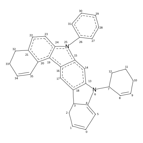 C1=CCC2C(=C1)N(C1C=CCCC1)c1cc3c(cc12)c1c2c(ccc1n3-c1ccccc1)CCC=C2